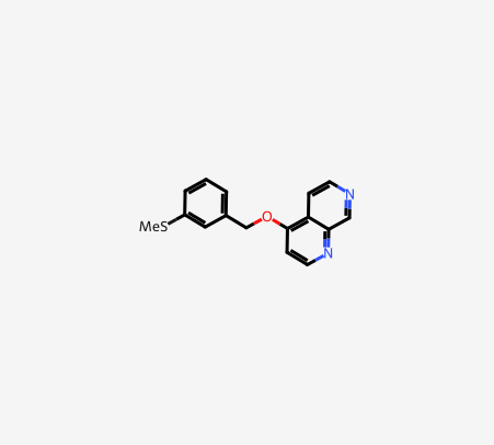 CSc1cccc(COc2ccnc3cnccc23)c1